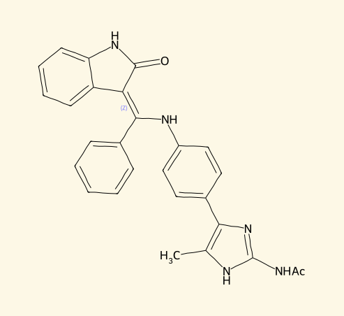 CC(=O)Nc1nc(-c2ccc(N/C(=C3\C(=O)Nc4ccccc43)c3ccccc3)cc2)c(C)[nH]1